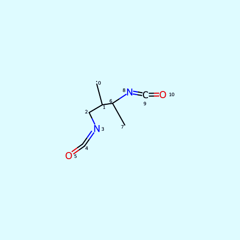 [CH2]C(CN=C=O)C(C)N=C=O